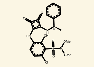 CON(OC)S(=O)(=O)c1c(Cl)ccc(Nc2c(N[C@H](C)c3ccccc3)c(=O)c2=O)c1O